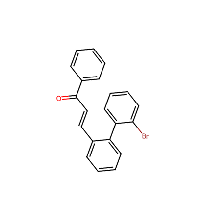 O=C(C=Cc1ccccc1-c1ccccc1Br)c1ccccc1